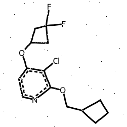 FC1(F)CC(Oc2ccnc(OCC3CCC3)c2Cl)C1